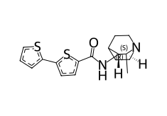 C[C@H]1[C@H](NC(=O)c2ccc(-c3cccs3)s2)C2CCN1CC2